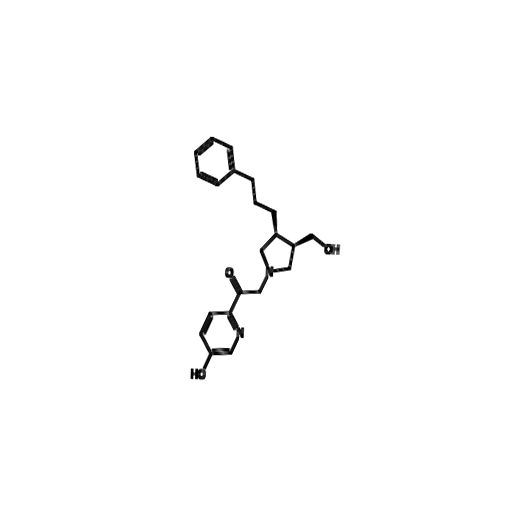 O=C(CN1C[C@@H](CCCc2ccccc2)[C@@H](CO)C1)c1ccc(O)cn1